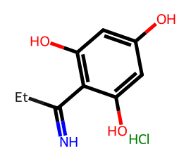 CCC(=N)c1c(O)cc(O)cc1O.Cl